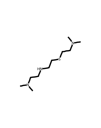 CN(C)CCNCCSCCN(C)C